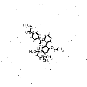 CCOc1cc2c(cc1-c1ccccc1C(=O)c1ccc(C(=O)OC)cc1)C(C)(C)CCC2(C)C